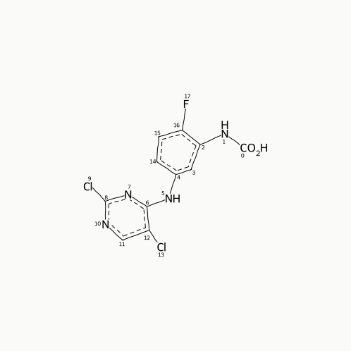 O=C(O)Nc1cc(Nc2nc(Cl)ncc2Cl)ccc1F